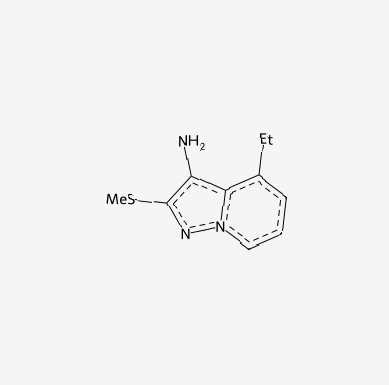 CCc1cccn2nc(SC)c(N)c12